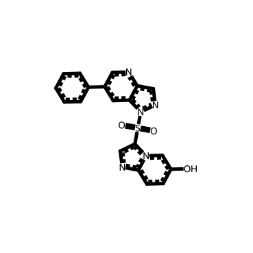 O=S(=O)(c1cnc2ccc(O)cn12)n1ncc2ncc(-c3ccccc3)cc21